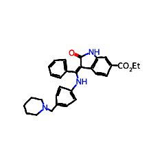 CCOC(=O)c1ccc2c(c1)NC(=O)C2=C(Nc1ccc(CN2CCCCC2)cc1)c1ccccc1